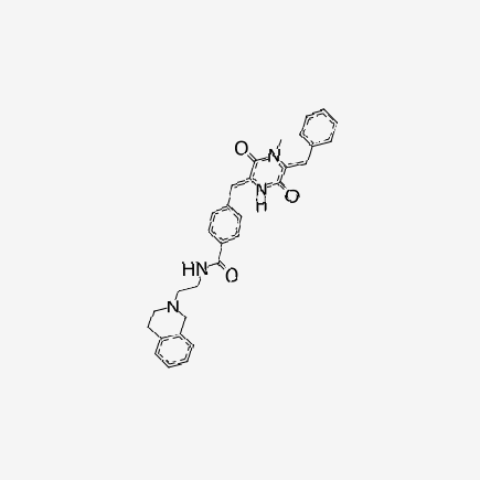 Cn1c(=O)/c(=C/c2ccc(C(=O)NCCN3CCc4ccccc4C3)cc2)[nH]c(=O)/c1=C/c1ccccc1